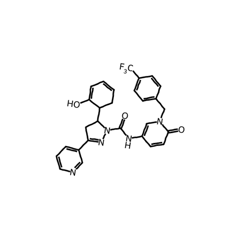 O=C(Nc1ccc(=O)n(Cc2ccc(C(F)(F)F)cc2)c1)N1N=C(c2cccnc2)CC1C1CC=CC=C1O